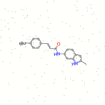 Cc1cc2ccc(NC(=O)/C=C/c3ccc(C(C)(C)C)cc3)cc2[nH]1